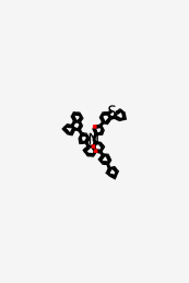 c1ccc(-c2ccc(-c3ccc(N(c4ccc(-c5ccc6sc7ccccc7c6c5)cc4)c4cc(-c5cc6ccccc6c6ccccc56)ccc4-c4ccccc4)cc3)cc2)cc1